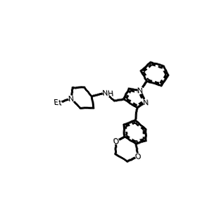 CCN1CCC(NCc2cn(-c3ccccc3)nc2-c2ccc3c(c2)OCCO3)CC1